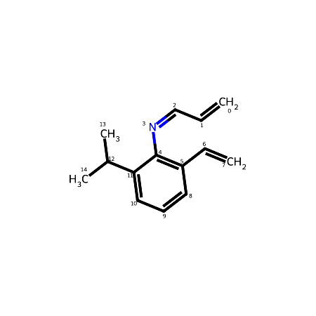 C=C/C=N\c1c(C=C)cccc1C(C)C